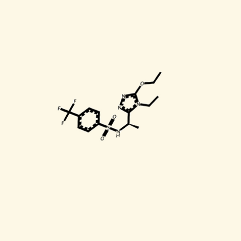 CCOc1nnc([C@@H](C)NS(=O)(=O)c2ccc(C(F)(F)F)cc2)n1CC